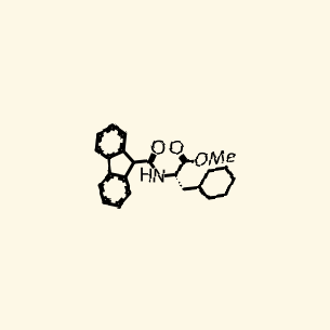 COC(=O)[C@H](CC1CCCCC1)NC(=O)C1c2ccccc2-c2ccccc21